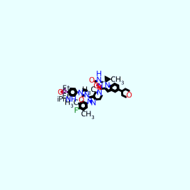 CCP(=O)(CC)c1ccc(-n2ccn(-c3c4c(nn3-c3cc(C)c(F)c(C)c3)CCN(C(=O)c3cc5cc(C6CCOCC6)ccc5n3[C@@]3(c5noc(=O)[nH]5)C[C@@H]3C)[C@H]4C)c2=O)cc1NC(C)C